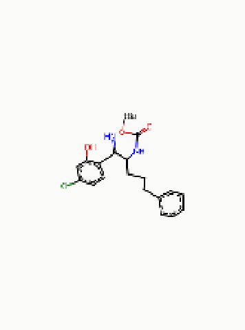 CC(C)(C)OC(=O)NC(CCCc1ccccc1)C(=N)c1ccc(Cl)cc1O